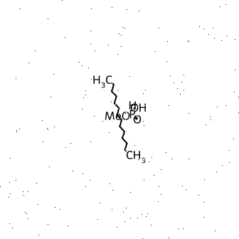 CCCCCCCCCCCCCC.CO[PH](=O)O